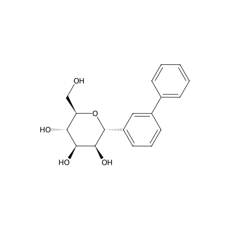 OC[C@H]1O[C@H](c2cccc(-c3ccccc3)c2)[C@@H](O)[C@@H](O)[C@@H]1O